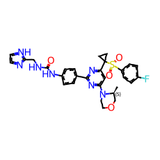 C[C@H]1COCCN1c1cc(C2(S(=O)(=O)c3ccc(F)cc3)CC2)nc(-c2ccc(NC(=O)NCc3ncc[nH]3)cc2)n1